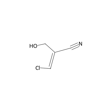 N#CC(=CCl)CO